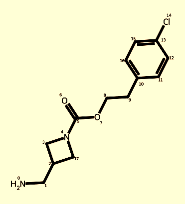 NCC1CN(C(=O)OCCc2ccc(Cl)cc2)C1